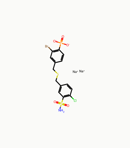 NS(=O)(=O)c1cc(CSCc2ccc(P(=O)([O-])[O-])c(Br)c2)ccc1Cl.[Na+].[Na+]